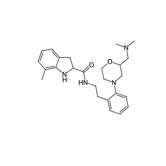 Cc1cccc2c1NC(C(=O)NCCc1ccccc1N1CCOC(CN(C)C)C1)C2